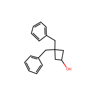 OC1CC(Cc2ccccc2)(Cc2ccccc2)C1